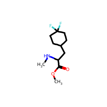 CNC(CC1CCC(F)(F)CC1)C(=O)OC